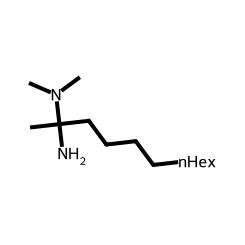 CCCCCCCCCCC(C)(N)N(C)C